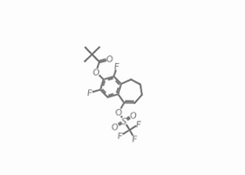 CC(C)(C)C(=O)Oc1c(F)cc2c(c1F)CCCC=C2OS(=O)(=O)C(F)(F)F